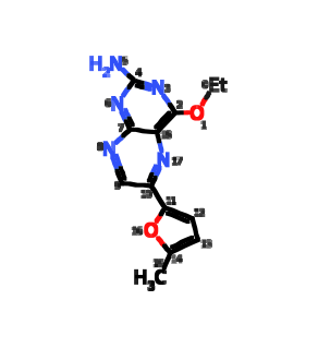 CCOc1nc(N)nc2ncc(-c3ccc(C)o3)nc12